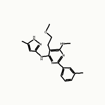 CNc1nc(-c2cccc(C)c2)nc(Nc2cc(C)[nH]n2)c1CCOC